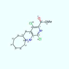 COC(=O)c1nc(Cl)c(N)c(CC2CCCCCCC2)c1Cl